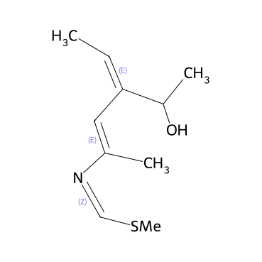 C\C=C(/C=C(C)/N=C\SC)C(C)O